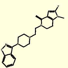 C=C1c2cc(F)n(C)c2CCN1CCN1CCN(c2nsc3ccccc23)CC1